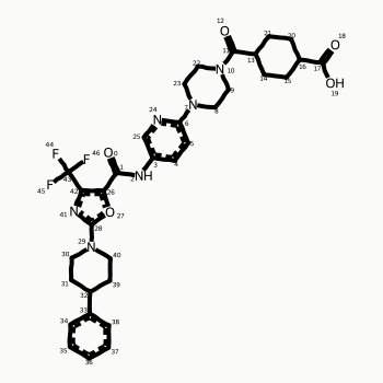 O=C(Nc1ccc(N2CCN(C(=O)C3CCC(C(=O)O)CC3)CC2)nc1)c1oc(N2CCC(c3ccccc3)CC2)nc1C(F)(F)F